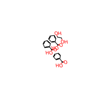 O=C(O)c1ccccc1.O=C(O)c1ccccc1.O=C(O)c1ccccc1.OCCO